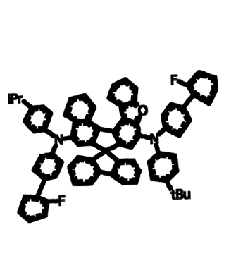 CC(C)c1ccc(N(c2ccc(-c3ccccc3F)cc2)c2cc3c(c4ccccc24)-c2c(cc(N(c4ccc(-c5ccccc5F)cc4)c4ccc(C(C)(C)C)cc4)c4oc5ccccc5c24)C32c3ccccc3-c3ccccc32)cc1